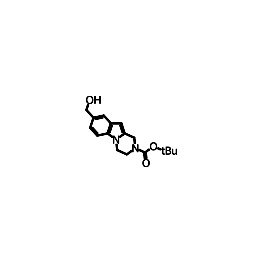 CC(C)(C)OC(=O)N1CCn2c(cc3cc(CO)ccc32)C1